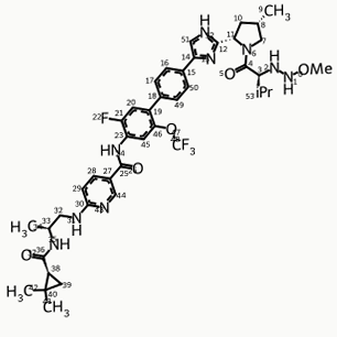 CONN[C@H](C(=O)N1C[C@@H](C)C[C@H]1c1nc(-c2ccc(-c3cc(F)c(NC(=O)c4ccc(NC[C@H](C)NC(=O)[C@H]5CC5(C)C)nc4)cc3OC(F)(F)F)cc2)c[nH]1)C(C)C